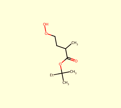 CCC(C)(C)OC(=O)C(C)CCOO